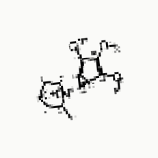 CC1CC2CCN1CC2.COc1c2cc-2c(OC)c1OC